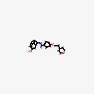 O=C(NC1C2CC3CC1CC(O)(C3)C2)c1ccc(OCCC2CCOCC2)cc1